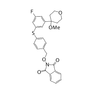 COC1(c2cc(F)cc(Sc3ccc(CON4C(=O)c5ccccc5C4=O)cc3)c2)CCOCC1